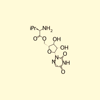 CC(C)[C@@H](N)C(=O)OC[C@H]1O[C@@H](n2ncc(=O)[nH]c2=O)[C@@H](O)C1O